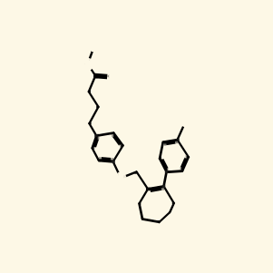 COC(=O)CCCc1ccc(OCC2=C(c3ccc(C)cc3)CCCCC2)cc1